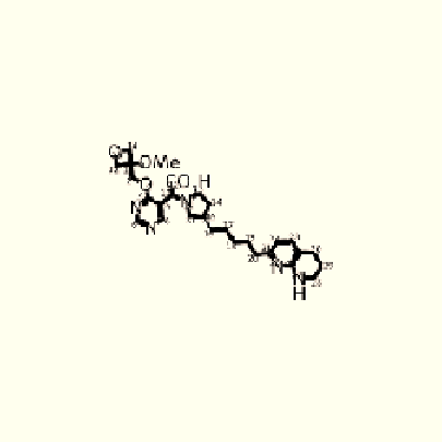 COC1(COc2ncncc2C(C(=O)O)N2CC[C@@H](CCCCCc3ccc4c(n3)NCCC4)C2)COC1